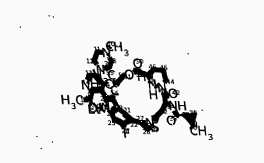 CCn1c(-c2cc(N3CCN(C)CC3)cnc2[C@H](C)OC)c2c3cc(c(F)cc31)-c1csc(n1)C[C@H](NC(=O)[C@H]1C[C@@H]1C)C(=O)N1CCC[C@H](N1)C(=O)OCC(C)(C)C2